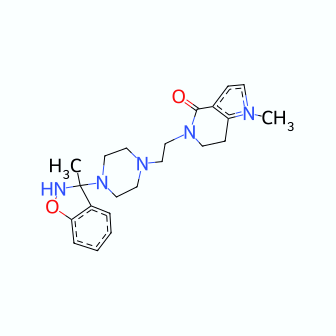 Cn1ccc2c1CCN(CCN1CCN(C3(C)NOc4ccccc43)CC1)C2=O